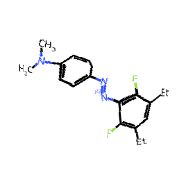 CCc1cc(CC)c(F)c(/N=N/c2ccc(N(C)C)cc2)c1F